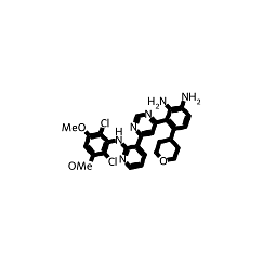 COc1cc(OC)c(Cl)c(Nc2ncccc2-c2cc(-c3c(C4CCOCC4)ccc(N)c3N)ncn2)c1Cl